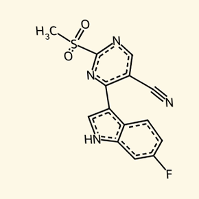 CS(=O)(=O)c1ncc(C#N)c(-c2c[nH]c3cc(F)ccc23)n1